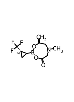 C=C1CN(C)CC(=O)OB(C2C[C@@H]2C(F)(F)F)O1